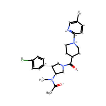 CC(C)COC(=O)N(C)[C@@H]1CN(C(=O)C2CCN(c3ccc(C#N)cn3)CC2)C[C@H]1c1ccc(Cl)cc1